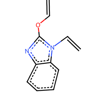 C=COc1nc2ccccc2n1C=C